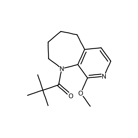 COc1nccc2c1N(C(=O)C(C)(C)C)CCCC2